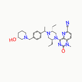 CC[C@H]1CN(C(C)c2ccc(CN3CCC[C@@H](O)C3)cc2)[C@H](CC)CN1c1nc(=O)n(C)c2ccc(C#N)nc12